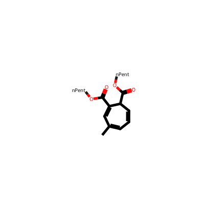 CCCCCOC(=O)C1=CC(C)=CC=CC1C(=O)OCCCCC